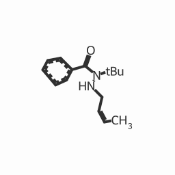 C/C=C\CNN(C(=O)c1ccccc1)C(C)(C)C